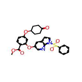 COC(=O)c1ccc(OC2CCC(=O)CC2)cc1Oc1cnc2c(ccn2S(=O)(=O)c2ccccc2)c1